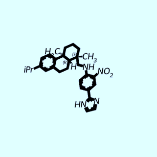 CC(C)c1ccc2c(c1)CC[C@H]1[C@@](C)(CNc3ccc(-c4ncc[nH]4)cc3[N+](=O)[O-])CCC[C@]21C